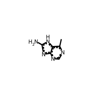 Cc1ncnc2nc(N)[nH]c12